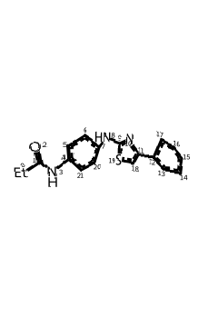 CCC(=O)Nc1ccc(Nc2nc(-c3ccccc3)cs2)cc1